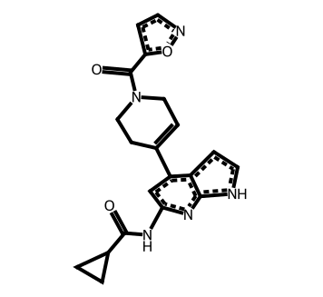 O=C(Nc1cc(C2=CCN(C(=O)c3ccno3)CC2)c2cc[nH]c2n1)C1CC1